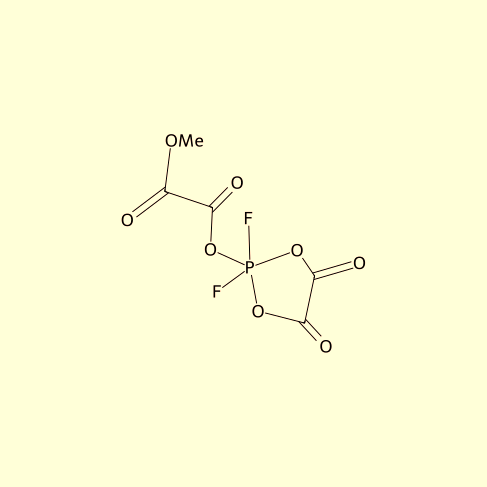 COC(=O)C(=O)OP1(F)(F)OC(=O)C(=O)O1